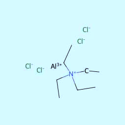 CC[N+](CC)(CC)CC.[Al+3].[Cl-].[Cl-].[Cl-].[Cl-]